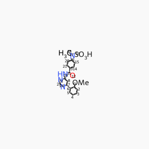 COc1ccccc1-c1cc(NC(=O)c2ccc(N(C)S(=O)(=O)O)cc2)ncn1